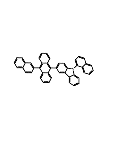 c1ccc2cc(-c3c4ccccc4c(-c4ccc5c(c4)c4ccccc4n5-c4cccc5ccccc45)c4ccccc34)ccc2c1